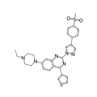 CCN1CCN(c2ccc3c(-c4ccsc4)nc(-n4cc(-c5ccc(S(C)(=O)=O)cc5)cn4)nc3c2)CC1